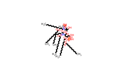 CCCCCCCCCCCCCC(=O)O[C@H](CCCCCCCCCCC)CC(=O)NCC(CO)(COC1OC(CO)[C@@H](OP(=O)(O)O)C(OC(=O)C[C@@H](CCCCCCCCCCC)OC(=O)CCCCCCCCCCC)[C@@H]1NC(=O)C[C@@H](CCCCCCCCCCC)OC(=O)CCCCCCCCCCCCC)COP(C)(=O)O